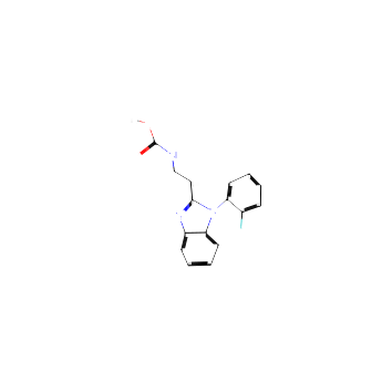 C[C@@H](CNC(=O)OC(C)(C)C)c1nc2ccccc2n1-c1ccccc1F